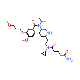 COCCCOc1cc(C(=O)N(C(C)C)C2CCC(CCN(C(=O)CCCC(N)=O)C3CC3)NC2)ccc1OC